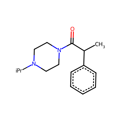 CC(C(=O)N1CCN(C(C)C)CC1)c1ccccc1